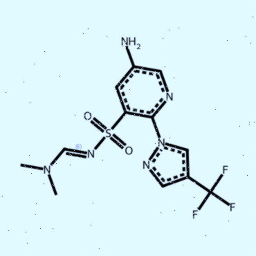 CN(C)/C=N/S(=O)(=O)c1cc(N)cnc1-n1cc(C(F)(F)F)cn1